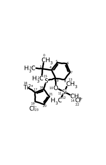 CC(C)(C)C1=CC=CCC1(O[Si](C)(C)C)SC1=[C]([Ti+2])CC=C1.[Cl-].[Cl-]